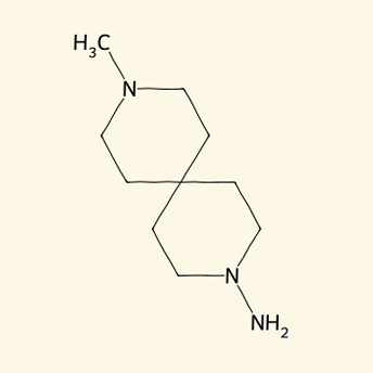 CN1CCC2(CC1)CCN(N)CC2